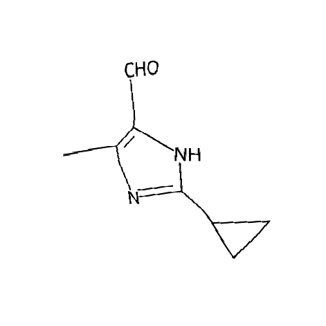 Cc1nc(C2CC2)[nH]c1C=O